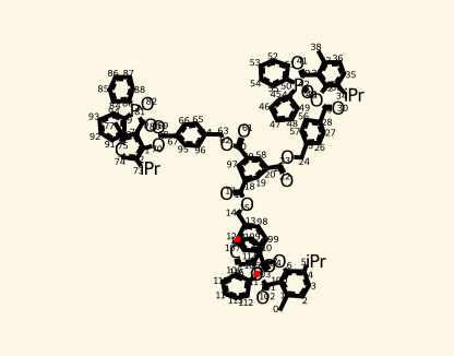 Cc1ccc(C(C)C)c(OC(=O)c2ccc(COC(=O)c3cc(C(=O)OCc4ccc(C(=O)Oc5c(C(C)C)ccc(C)c5C(=O)P(=O)(c5ccccc5)c5ccccc5)cc4)cc(C(=O)OCc4ccc(C(=O)Oc5c(C(C)C)ccc(C)c5C(=O)P(=O)(c5ccccc5)c5ccccc5)cc4)c3)cc2)c1C(=O)P(=O)(c1ccccc1)c1ccccc1